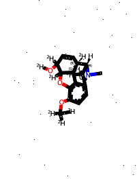 [2H]OC1([2H])C=C[C@@]2([2H])[C@@H]3N(C)CC[C@@]24c2c(ccc(OC([2H])([2H])[2H])c2OC14[2H])C3([2H])[2H]